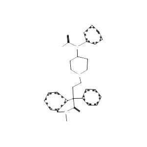 CCC(=O)N(c1ccccc1)C1CCN(CCC(C(=O)N(C)C)(c2ccccc2)c2ccccc2)CC1